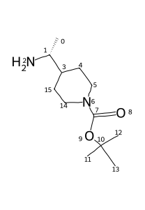 C[C@@H](N)C1CCN(C(=O)OC(C)(C)C)CC1